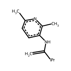 C=C(Nc1ccc(C)nc1C)C(C)C